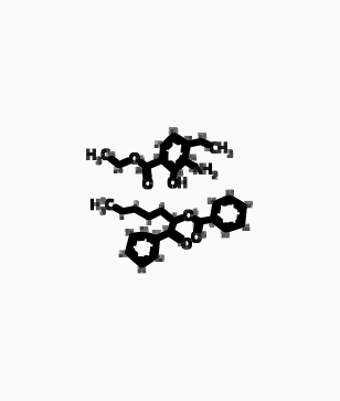 CCCCCC(OC(=O)c1ccccc1)C(=O)c1ccccc1.CCOC(=O)c1ccc(CC)c(N)c1O